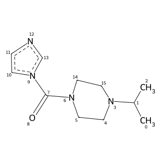 CC(C)N1CCN(C(=O)n2ccnc2)CC1